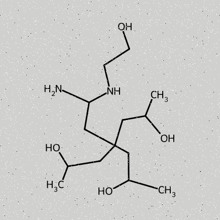 CC(O)CC(CC(C)O)(CC(C)O)CC(N)NCCO